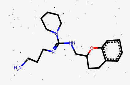 NCCCN=C(NCC1CCc2ccccc2O1)N1CCCCC1